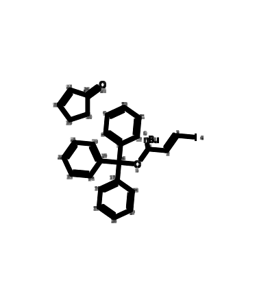 CCCCC(C=CI)OC(c1ccccc1)(c1ccccc1)c1ccccc1.O=C1C=CCC1